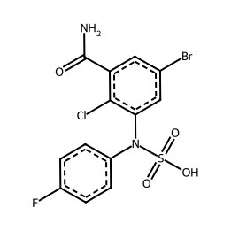 NC(=O)c1cc(Br)cc(N(c2ccc(F)cc2)S(=O)(=O)O)c1Cl